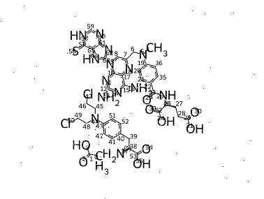 CC(=O)O.CN(Cc1cnc2nc(N)nc(N)c2n1)c1ccc(C(=O)N[C@@H](CCC(=O)O)C(=O)O)cc1.N[C@@H](Cc1ccc(N(CCCl)CCCl)cc1)C(=O)O.S=c1[nH]cnc2nc[nH]c12